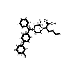 CCCCC(C(=O)O)N1CCN(C(c2ccccc2)c2ccc(-c3cccc(C)c3)cc2)C[C@H]1C